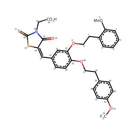 COc1ccccc1CCOc1cc(C=C2SC(=S)N(CC(=O)O)C2=O)ccc1OCCc1ccc(OC(F)(F)F)cc1